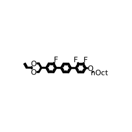 C=CC1OCC(c2ccc(-c3ccc(-c4ccc(OCCCCCCCC)c(F)c4F)cc3)c(F)c2)CO1